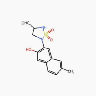 Cc1ccc2cc(O)c(N3CC(C=O)NS3(=O)=O)cc2c1